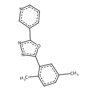 Cc1ccc(C)c(-c2nnc(-c3cccnc3)o2)c1